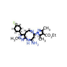 CCOC(=O)c1c(C)nn(-c2cc(N)[nH]c3nn(C)c(-c4ccc(F)cc4)c3ccn2)c1C